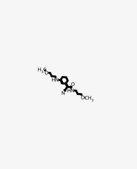 COCCCNC(=O)C(C#N)=C1C=C(NCCCOC)CCC1